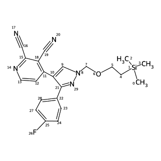 C[Si](C)(C)CCOCn1cc(-c2ccnc(C#N)c2C#N)c(-c2ccc(F)cc2)n1